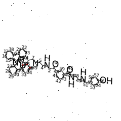 O=C(CNCCN1CCC(OC(=O)N(c2ccccc2-c2ccccc2)c2ccccc2-c2ccccc2)CC1)c1cccc(C(=O)NCCNCc2ccc(O)cc2)c1